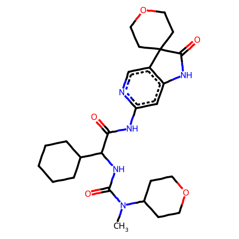 CN(C(=O)NC(C(=O)Nc1cc2c(cn1)C1(CCOCC1)C(=O)N2)C1CCCCC1)C1CCOCC1